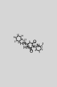 Cc1cccc(-n2c(=O)cc(NCc3ccccc3)[nH]c2=O)n1